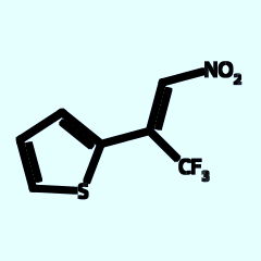 O=[N+]([O-])C=C(c1cccs1)C(F)(F)F